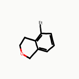 CCc1cccc2c1CCOC2